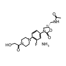 CC(=O)NC[C@H]1CN(c2ccc(N3CCN(C(=O)CO)CC3)c(F)c2)C(=O)O1.N